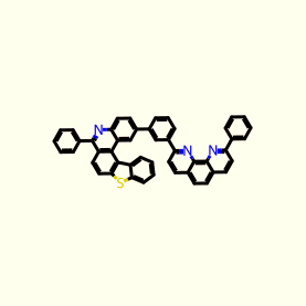 c1ccc(-c2ccc3ccc4ccc(-c5cccc(-c6ccc7nc(-c8ccccc8)c8ccc9sc%10ccccc%10c9c8c7c6)c5)nc4c3n2)cc1